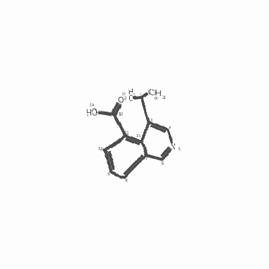 CC(C)c1cncc2cccc(C(=O)O)c12